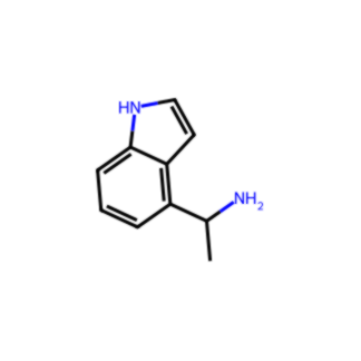 CC(N)c1cccc2[nH]ccc12